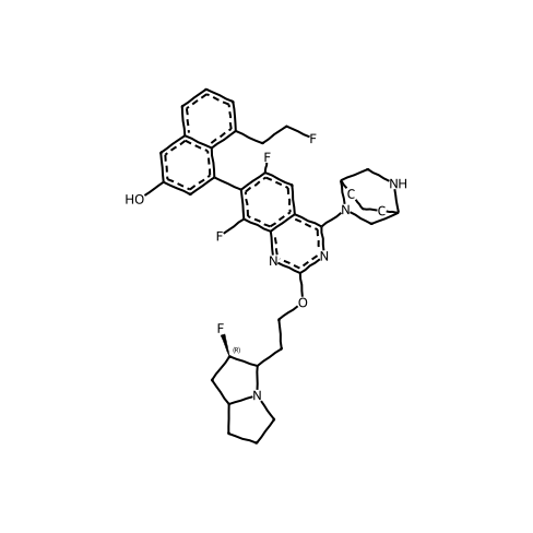 Oc1cc(-c2c(F)cc3c(N4CC5CCCC4CN5)nc(OCCC4[C@H](F)CC5CCCN54)nc3c2F)c2c(CCF)cccc2c1